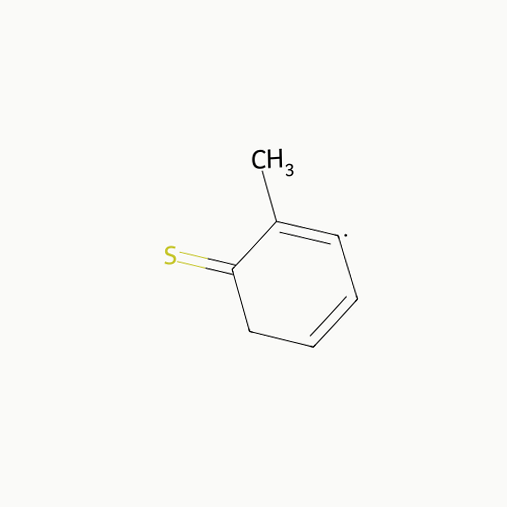 CC1=[C]C=CCC1=S